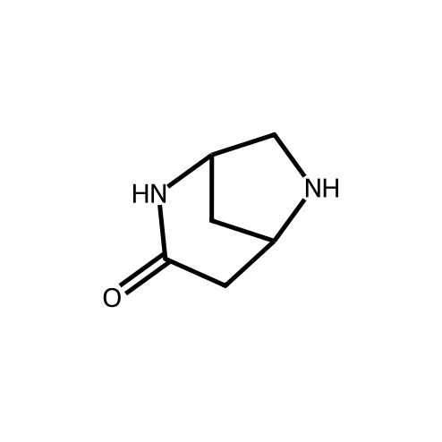 O=C1CC2CC(CN2)N1